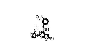 CCc1cc2c(NCc3cccc([N+](=O)[O-])c3)nc(-n3ccnc3C)nc2s1